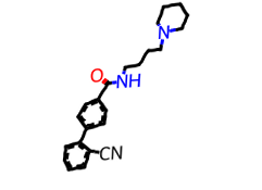 N#Cc1ccccc1-c1ccc(C(=O)NCCCCN2CCCCC2)cc1